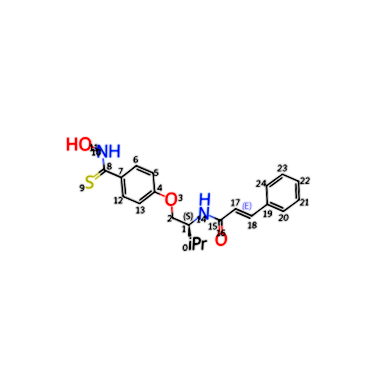 CC(C)[C@@H](COc1ccc(C(=S)NO)cc1)NC(=O)/C=C/c1ccccc1